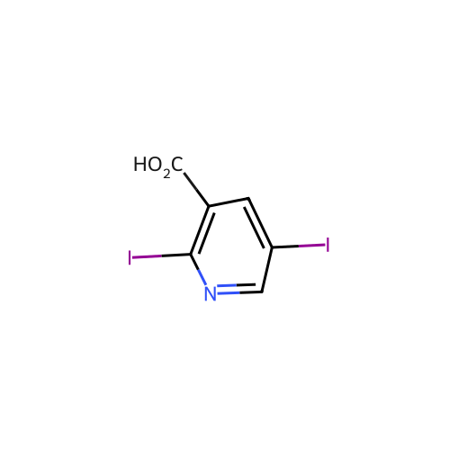 O=C(O)c1cc(I)cnc1I